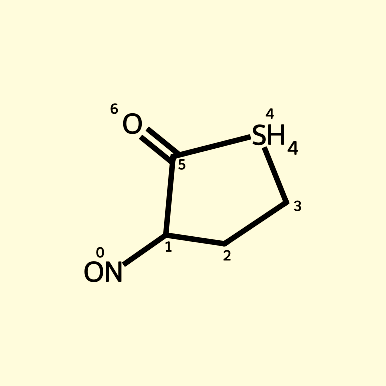 O=NC1CC[SH4]C1=O